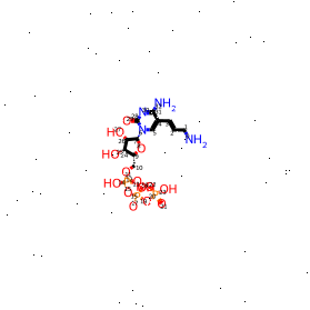 NC/C=C/c1cn([C@@H]2O[C@H](COP(=O)(O)OP(=O)(O)OP(=O)(O)O)[C@H](O)C2O)c(=O)nc1N